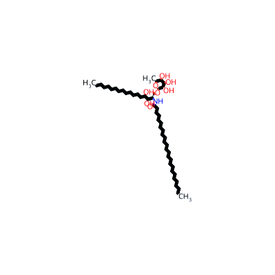 CCCCCCCCCCCCCCCCCCCCCCCCCC(=O)N[C@@H](COC1OC(C)C(O)C(O)C1O)[C@H](O)[C@H](O)CCCCCCCCCCCCCC